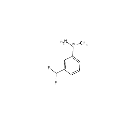 C[C@@H](N)c1cccc(C(F)F)c1